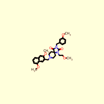 COCCN1C(=O)N(Cc2cccc(OC)c2)C(=O)C12CCN(Cc1cc3c(OC)cccc3cc1OC)CC2